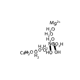 O.O.O.O.O.O.O.O=S(=O)(O)O.O=[N+]([O-])O.[Ca+2].[Mg+2]